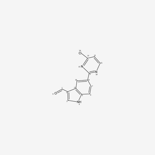 O=Cc1c[nH]c2ccc(-c3nccc(Cl)n3)cc12